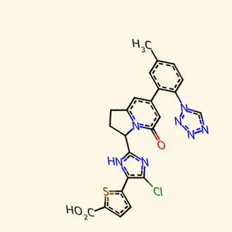 Cc1ccc(-n2cnnn2)c(-c2cc3n(c(=O)c2)C(c2nc(Cl)c(-c4ccc(C(=O)O)s4)[nH]2)CC3)c1